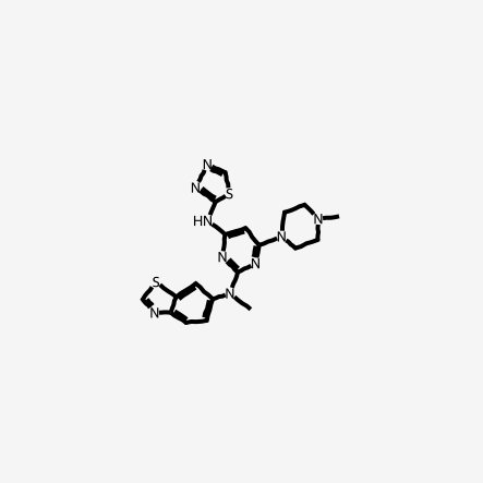 CN1CCN(c2cc(Nc3nncs3)nc(N(C)c3ccc4ncsc4c3)n2)CC1